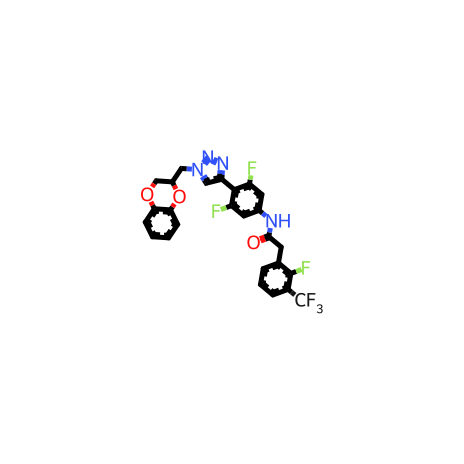 O=C(Cc1cccc(C(F)(F)F)c1F)Nc1cc(F)c(-c2cn(CC3COc4ccccc4O3)nn2)c(F)c1